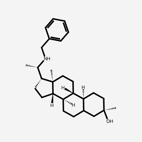 C[C@H](NCc1ccccc1)[C@H]1CC[C@H]2[C@@H]3CCC4C[C@](C)(O)CC[C@@H]4[C@H]3CC[C@]12C